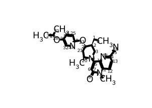 CC[C@H]1CN(c2cc(=O)n(C)c3ccc(C#N)nc23)[C@H](C)C[C@@H]1Oc1ccc(OC(C)C)cn1